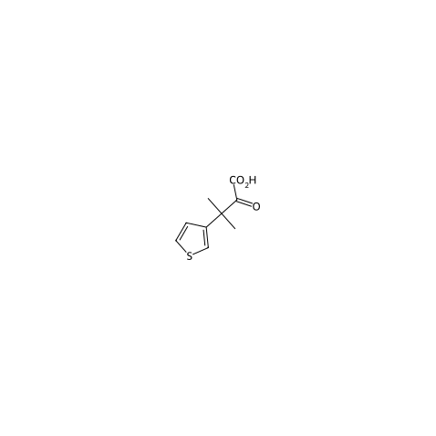 CC(C)(C(=O)C(=O)O)c1ccsc1